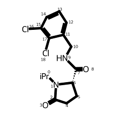 CC(C)N1C(=O)CC[C@H]1C(=O)NCc1cccc(Cl)c1Cl